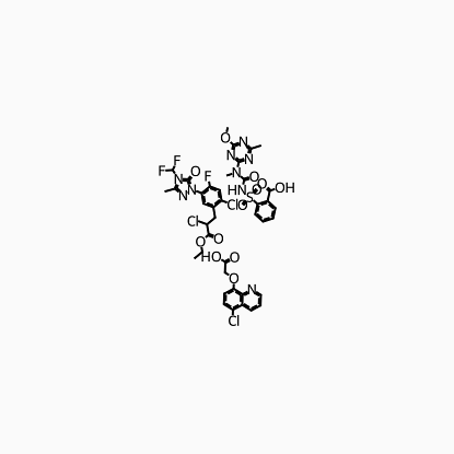 CCOC(=O)C(Cl)Cc1cc(-n2nc(C)n(C(F)F)c2=O)c(F)cc1Cl.COc1nc(C)nc(N(C)C(=O)NS(=O)(=O)c2ccccc2C(=O)O)n1.O=C(O)COc1ccc(Cl)c2cccnc12